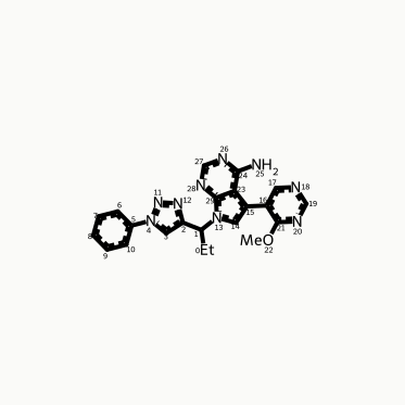 CCC(c1cn(-c2ccccc2)nn1)n1cc(-c2cncnc2OC)c2c(N)ncnc21